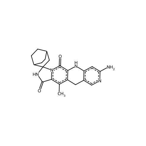 Cc1c2c(c(=O)n3c1C(=O)NC31CC3CCC1CC3)Nc1cc(N)ncc1C2